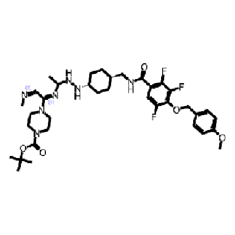 C/N=C\C(=N/C(C)NN[C@H]1CC[C@H](CNC(=O)c2cc(F)c(OCc3ccc(OC)cc3)c(F)c2F)CC1)N1CCN(C(=O)OC(C)(C)C)CC1